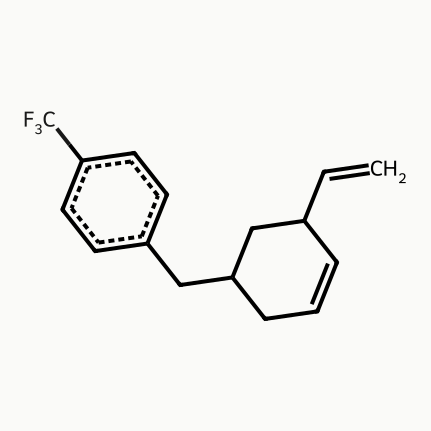 C=CC1C=CCC(Cc2ccc(C(F)(F)F)cc2)C1